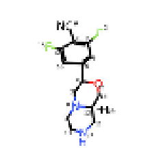 N#Cc1c(F)cc([C@@H]2CN3CCNC[C@@H]3CO2)cc1F